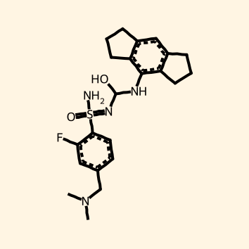 CN(C)Cc1ccc(S(N)(=O)=NC(O)Nc2c3c(cc4c2CCC4)CCC3)c(F)c1